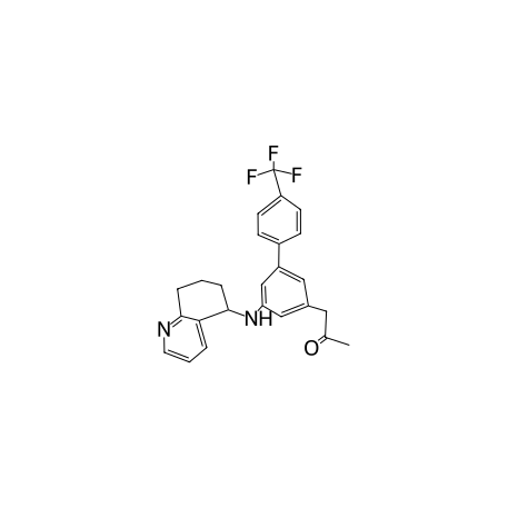 CC(=O)Cc1cc(NC2CCCc3ncccc32)cc(-c2ccc(C(F)(F)F)cc2)c1